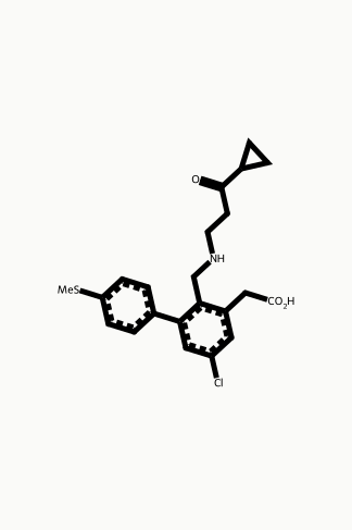 CSc1ccc(-c2cc(Cl)cc(CC(=O)O)c2CNCCC(=O)C2CC2)cc1